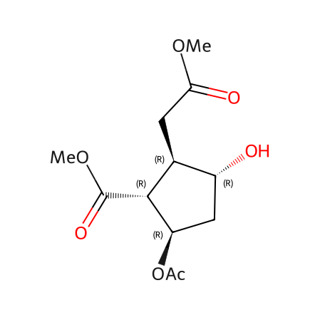 COC(=O)C[C@@H]1[C@@H](C(=O)OC)[C@H](OC(C)=O)C[C@H]1O